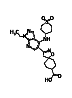 CCn1ncc2c(NC3CCS(=O)(=O)CC3)c(C3=NOC4(CCC(C(=O)O)CC4)C3)cnc21